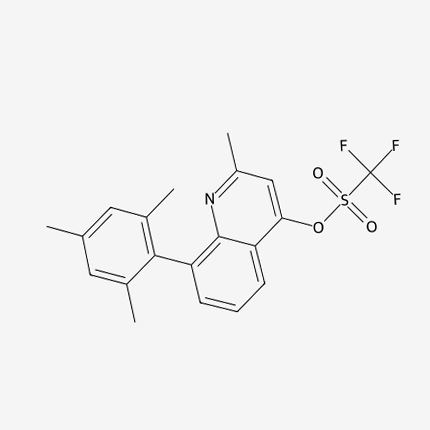 Cc1cc(C)c(-c2cccc3c(OS(=O)(=O)C(F)(F)F)cc(C)nc23)c(C)c1